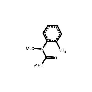 COC(=O)N(OC)c1ccccc1C